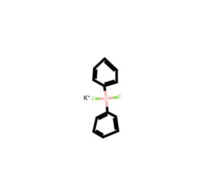 F[B-](F)(c1ccccc1)c1ccccc1.[K+]